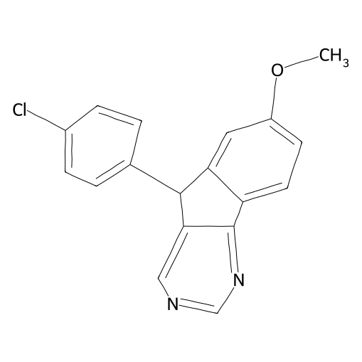 COc1ccc2c(c1)C(c1ccc(Cl)cc1)c1cncnc1-2